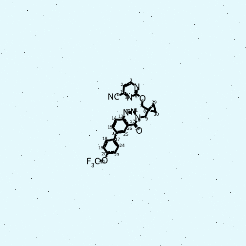 N#Cc1ccnc(OCC2(Cn3nnc4ccc(-c5ccc(OC(F)(F)F)cc5)cc4c3=O)CC2)n1